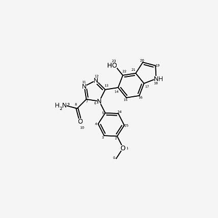 COc1ccc(-n2c(C(N)=O)nnc2-c2ccc3[nH]ccc3c2O)cc1